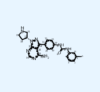 Cc1cccc(NC(=O)Nc2ccc(-c3nn([C@@H]4CCNC4)c4ncnc(N)c34)cc2)c1